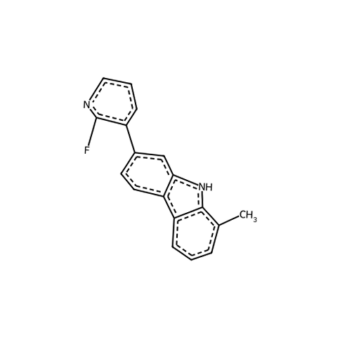 Cc1cccc2c1[nH]c1cc(-c3cccnc3F)ccc12